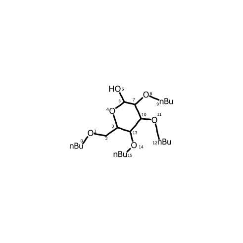 CCCCOCC1OC(O)C(OCCCC)C(OCCCC)C1OCCCC